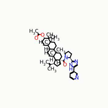 C=C(C)[C@@H]1CC[C@]2(C(=O)N3CCC[C@H]3c3ncc(-c4cccnc4)[nH]3)CC[C@]3(C)[C@H](CC[C@@H]4[C@@]5(C)CC[C@H](OC(C)=O)C(C)(C)[C@@H]5CC[C@]43C)[C@@H]12